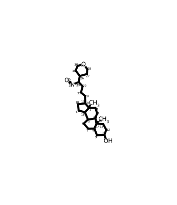 CC12CCC3C(CCC4CC(O)CCC43C)C1CCC2CCCC(N=O)C1CCOCC1